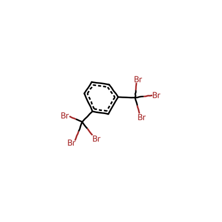 BrC(Br)(Br)c1cccc(C(Br)(Br)Br)c1